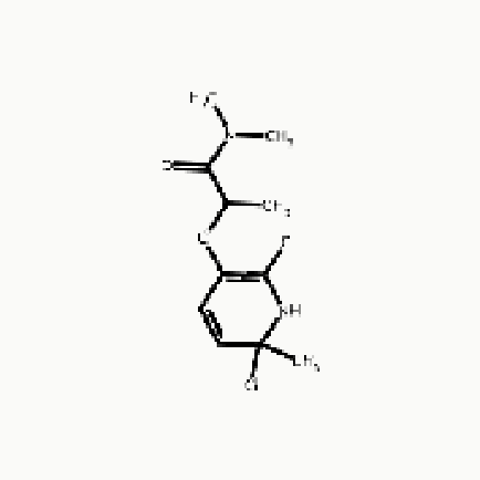 CC(OC1=C(Cl)NC(C)(Cl)C=C1)C(=O)N(C)C